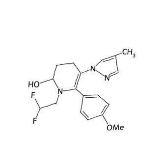 COc1ccc(C2=C(n3cc(C)cn3)CCC(O)N2CC(F)F)cc1